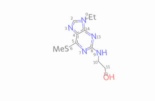 CCn1cnc2c(SC)nc(NCCO)nc21